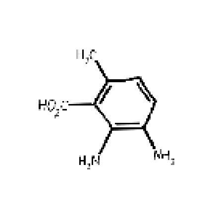 Cc1ccc(N)c(N)c1C(=O)O